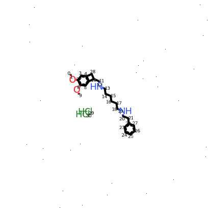 COc1cc2c(cc1OC)C(CNCCCCCCNCCc1ccccc1)C2.Cl.Cl